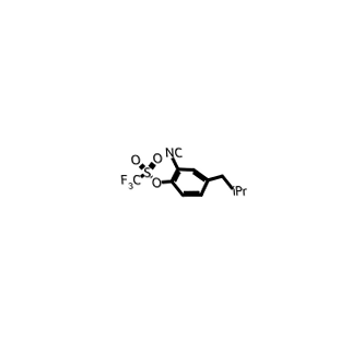 CC(C)Cc1ccc(OS(=O)(=O)C(F)(F)F)c(C#N)c1